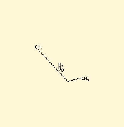 CCCCCCCC/C=C\CCCCCCC(CCCCCCCCCCCCCCCCCC)C(N)=O